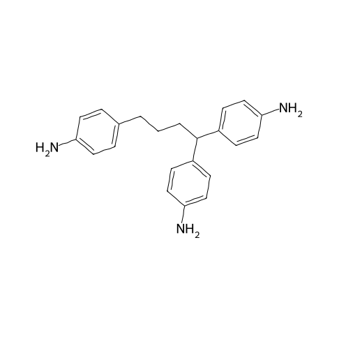 Nc1ccc(CCCC(c2ccc(N)cc2)c2ccc(N)cc2)cc1